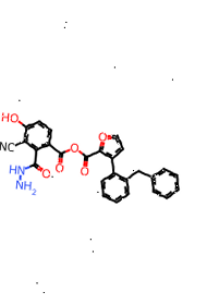 N#Cc1c(O)ccc(C(=O)OC(=O)c2occc2-c2ccccc2Cc2ccccc2)c1C(=O)NN